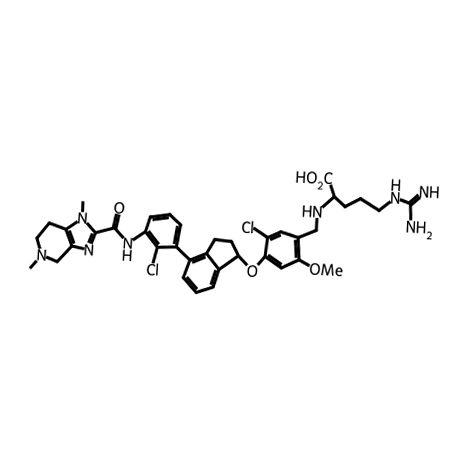 COc1cc(OC2CCc3c(-c4cccc(NC(=O)c5nc6c(n5C)CCN(C)C6)c4Cl)cccc32)c(Cl)cc1CNC(CCCNC(=N)N)C(=O)O